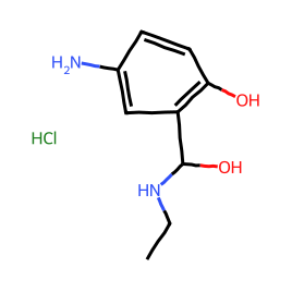 CCNC(O)c1cc(N)ccc1O.Cl